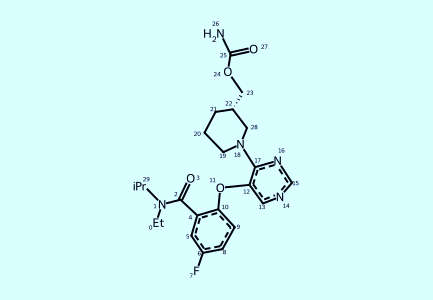 CCN(C(=O)c1cc(F)ccc1Oc1cncnc1N1CCC[C@H](COC(N)=O)C1)C(C)C